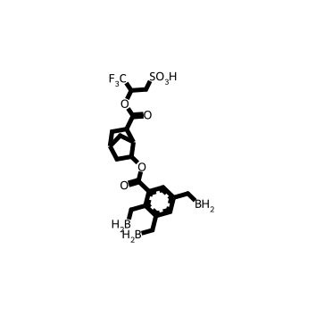 BCc1cc(CB)c(CB)c(C(=O)OC2CC3CC(C(=O)OC(CS(=O)(=O)O)C(F)(F)F)C2C3)c1